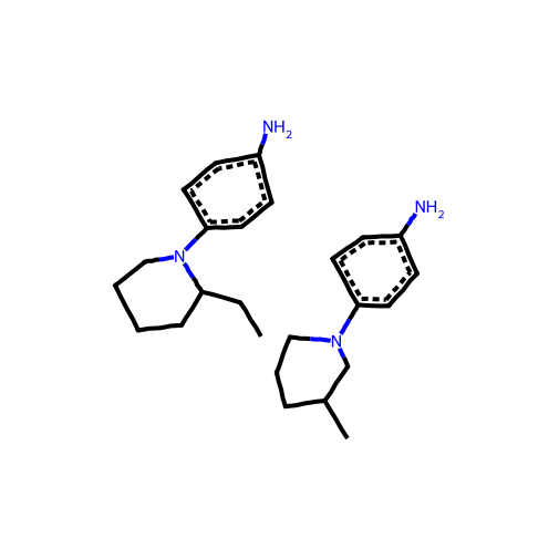 CC1CCCN(c2ccc(N)cc2)C1.CCC1CCCCN1c1ccc(N)cc1